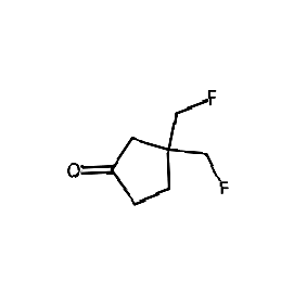 O=C1CCC(CF)(CF)C1